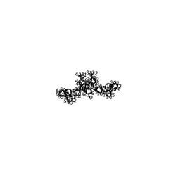 Cc1cc2c3c(c1)N(c1ccc(-c4cccc5c4oc4ccccc45)cc1)c1ccc(C(C)C)cc1B3c1cc(C(C)C)ccc1N2c1ccc(-c2cccc3c2oc2ccccc23)cc1